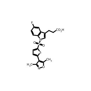 Cc1noc(C)c1-c1ccc(S(=O)(=O)n2cc(CCC(=O)O)c3cc(F)ccc32)s1